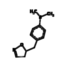 CB(C)c1ccc(CC2CC=NO2)cc1